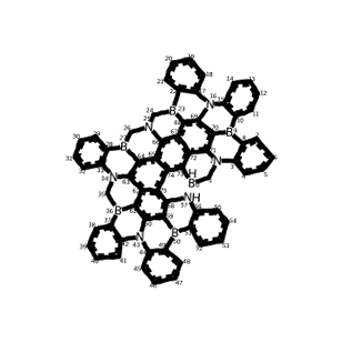 B1CN2c3ccccc3B3c4ccccc4N4c5ccccc5B5CN6CB7c8ccccc8N8CB9c%10ccccc%10N%10c%11ccccc%11B%11c%12ccccc%12Nc%12c%11c%10c9c9c8c7c7c6c6c5c4c3c2c6c1c7c%129